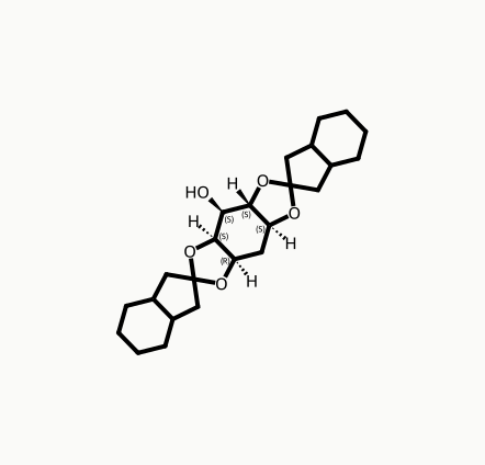 O[C@H]1[C@@H]2OC3(CC4CCCCC4C3)O[C@H]2C[C@H]2OC3(CC4CCCCC4C3)O[C@@H]12